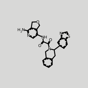 Nc1ncc(NC(=O)C(=O)N2Cc3ccccc3CC2c2ccc3scnc3c2)c2c1COC2